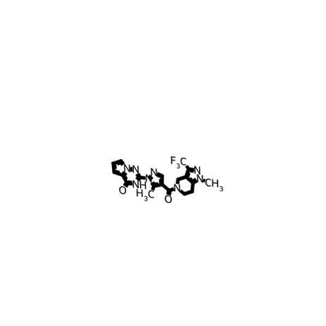 Cc1c(C(=O)N2CCc3c(c(C(F)(F)F)nn3C)C2)cnn1-c1nn2cccc2c(=O)[nH]1